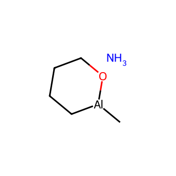 N.[CH3][Al]1[CH2]CCC[O]1